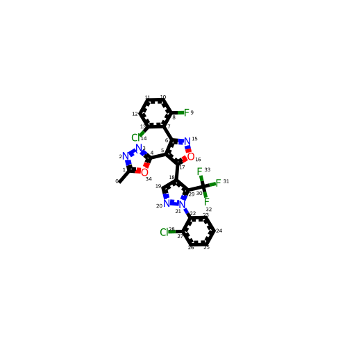 Cc1nnc(-c2c(-c3c(F)cccc3Cl)noc2-c2cnn(-c3ccccc3Cl)c2C(F)(F)F)o1